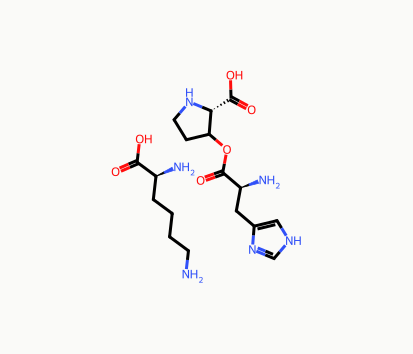 NCCCC[C@H](N)C(=O)O.N[C@@H](Cc1c[nH]cn1)C(=O)OC1CCN[C@@H]1C(=O)O